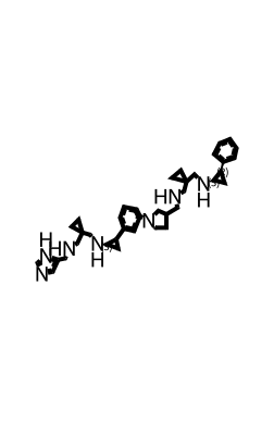 c1ccc([C@H]2C[C@@H]2NCC2(CNCC3CCN(c4cccc(C5C[C@@H]5NCC5(CNCc6cnc[nH]6)CC5)c4)C3)CC2)cc1